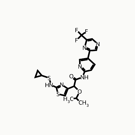 CC(C)OC(C(=O)Nc1ccc(-c2cncc(C(F)(F)F)n2)cn1)c1csc(NSC2CC2)n1